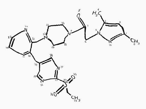 Cc1cc(C)n(CC(=O)N2CCN(c3ncccc3-c3cnc(S(C)(=O)=O)nc3)CC2)n1